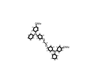 COc1ccc(N(c2ccccc2)c2ccc(OCCOc3ccc(N(c4ccccc4)c4ccc(OC)cc4)cc3)cc2)cc1